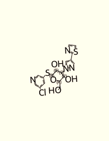 OC[C@H]1O[C@H](Sc2cncc(Cl)c2)[C@H](O)[C@@H](n2cc(-c3nccs3)cn2)[C@H]1O